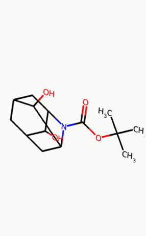 CC(C)(C)OC(=O)N1C2CC3CC(CC1C3O)C2O